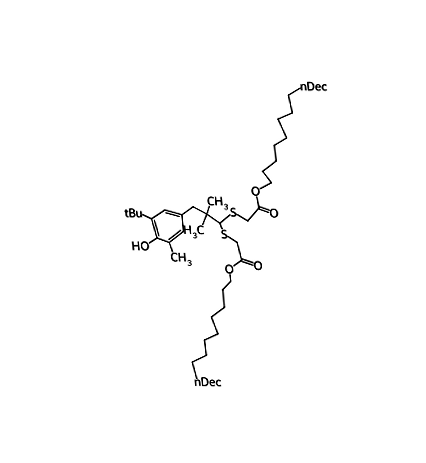 CCCCCCCCCCCCCCCCCCOC(=O)CSC(SCC(=O)OCCCCCCCCCCCCCCCCCC)C(C)(C)Cc1cc(C)c(O)c(C(C)(C)C)c1